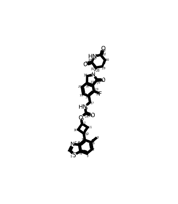 Cc1ccc2scnc2c1C1CC(OC(=O)NCc2ccc3c(c2F)C(=O)N([C@H]2CCC(=O)NC2=O)C3)C1